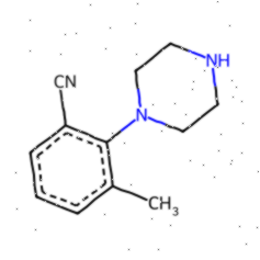 Cc1cccc(C#N)c1N1CCNCC1